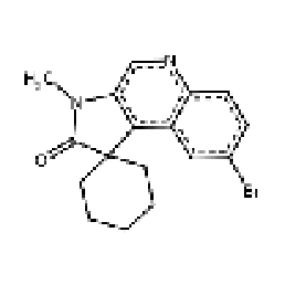 CN1C(=O)C2(CCCCC2)c2c1cnc1ccc(Br)cc21